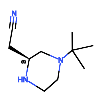 CC(C)(C)N1CCN[C@@H](CC#N)C1